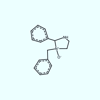 [O-][N+]1(Cc2ccccc2)CCNC1c1ccccc1